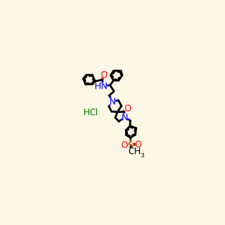 CS(=O)(=O)c1ccc(CN2CCC3(CCN(CCC(NC(=O)c4ccccc4)c4ccccc4)CC3)C2=O)cc1.Cl